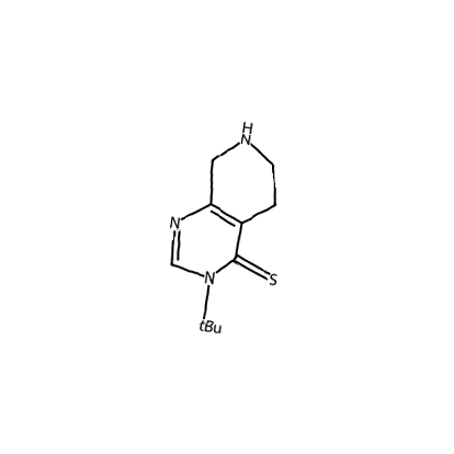 CC(C)(C)n1cnc2c(c1=S)CCNC2